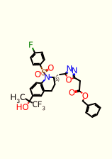 CC(O)(c1ccc2c(c1)CC[C@@H](Cc1nnc(CC(=O)OCc3ccccc3)o1)N2S(=O)(=O)c1ccc(F)cc1)C(F)(F)F